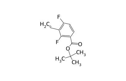 C=Cc1c(F)ccc(C(=O)OC(C)(C)C)c1F